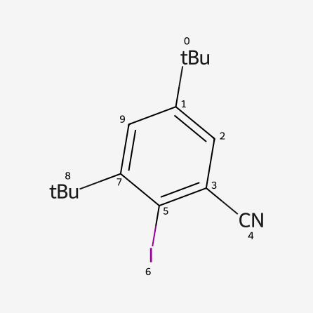 CC(C)(C)c1cc(C#N)c(I)c(C(C)(C)C)c1